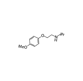 COc1ccc(OCCNC(C)C)cc1